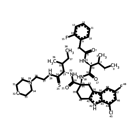 CCC(C)[C@H](NC(=O)Cc1ccccc1F)C(=O)N[C@]1(C(=O)N[C@H](C(=S)NCCN2CCOCC2)C(C)CC)CCc2[nH]c3c(Cl)cc(F)cc3c2C1